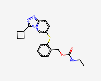 CCNC(=O)OCc1ccccc1Sc1ccc2nnc(C3CCC3)n2c1